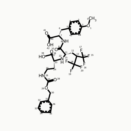 COc1ccc(C[C@H](NC(=O)[C@H](CC(C(F)(F)F)C(F)(F)F)N[C@H](CCNC(=O)OCc2ccccc2)C(=O)O)C(=O)O)cc1